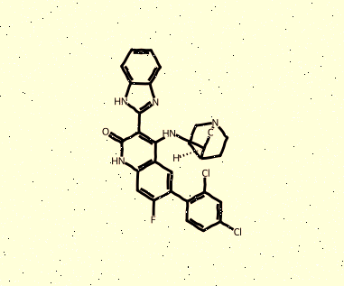 O=c1[nH]c2cc(F)c(-c3ccc(Cl)cc3Cl)cc2c(N[C@H]2CN3CCC2CC3)c1-c1nc2ccccc2[nH]1